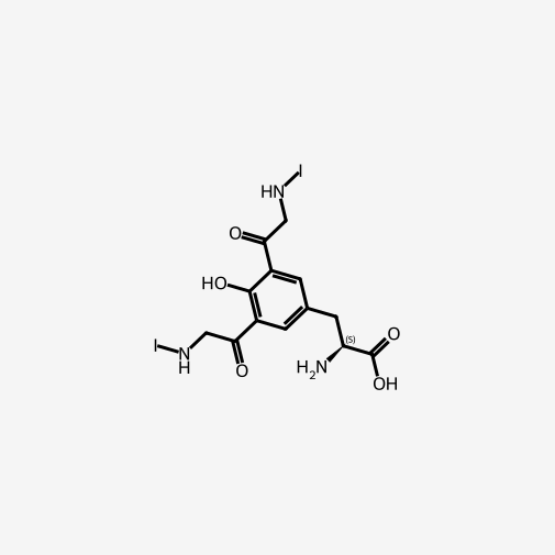 N[C@@H](Cc1cc(C(=O)CNI)c(O)c(C(=O)CNI)c1)C(=O)O